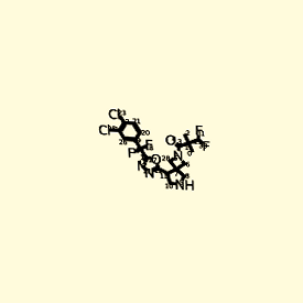 CC(C)(C(=O)N1CC2(CNCC2c2nnc(C(F)(F)c3ccc(Cl)c(Cl)c3)o2)C1)C(F)F